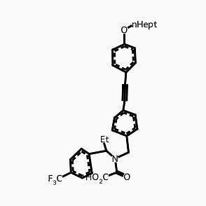 CCCCCCCOc1ccc(C#Cc2ccc(CN(C(=O)C(=O)O)C(CC)c3ccc(C(F)(F)F)cc3)cc2)cc1